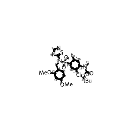 COc1ccc(CN(c2ncns2)S(=O)(=O)c2cc(Cl)c(N(C)C(=O)OC(C)(C)C)cc2F)c(OC)c1